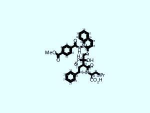 COC(=O)c1ccc(C(=O)N[n+]2c(SCC(O)([PH2]=O)C(CCc3ccccc3)C(=O)N[C@@H](CC(C)C)C(=O)O)ccc3ccccc32)cc1